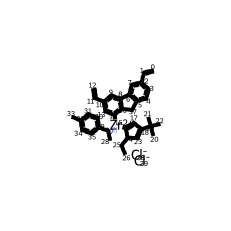 C=Cc1ccc2c(c1)-c1cc(C=C)c[c](/[Zr+2]([C]3=CC(C(C)(C)C)=CC3CC)=[C](/C)c3ccc(C)cc3)c1C2.[Cl-].[Cl-]